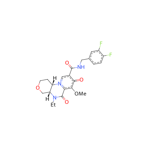 CCN1C(=O)c2c(OC)c(=O)c(C(=O)NCc3ccc(F)c(F)c3)cn2[C@H]2CCOC[C@H]21